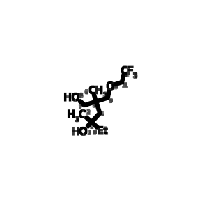 CCC(C)(O)CC(C)(CO)COCC(F)(F)F